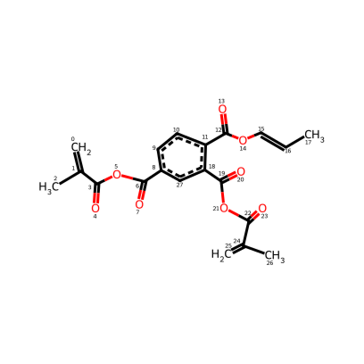 C=C(C)C(=O)OC(=O)c1ccc(C(=O)OC=CC)c(C(=O)OC(=O)C(=C)C)c1